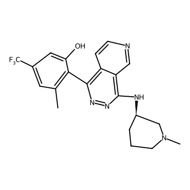 Cc1cc(C(F)(F)F)cc(O)c1-c1nnc(N[C@@H]2CCCN(C)C2)c2cnccc12